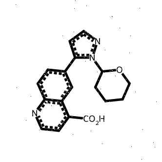 O=C(O)c1ccnc2ccc(-c3ccnn3C3CCCCO3)cc12